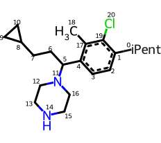 CCCC(C)c1ccc(C(CCC2CC2)N2CCNCC2)c(C)c1Cl